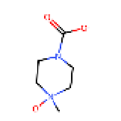 C[N+]1([O-])CCN(C([O])=O)CC1